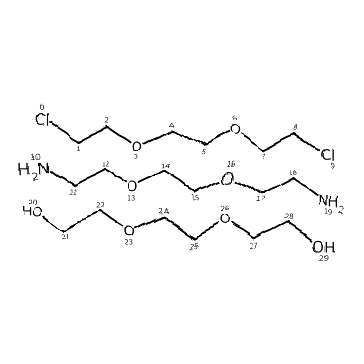 ClCCOCCOCCCl.NCCOCCOCCN.OCCOCCOCCO